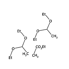 CCOC(C)=O.CCOC(C)OCC.CCOC(C)OCC